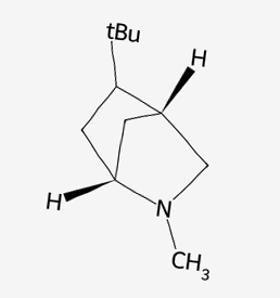 CN1C[C@@H]2C[C@H]1CC2C(C)(C)C